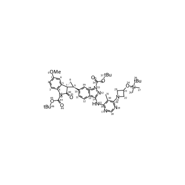 COc1ccc2c(c1)[C@]1(C[C@H]1c1ccc3c(Nc4ncnc(N5CC(O[Si](C)(C)C(C)(C)C)C5)c4C)nn(C(=O)OC(C)(C)C)c3c1)C(=O)N2C(=O)OC(C)(C)C